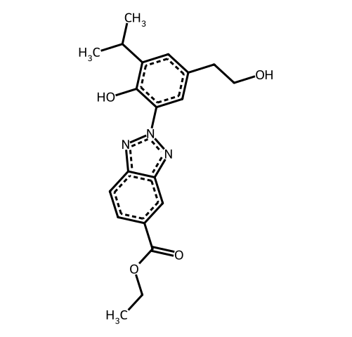 CCOC(=O)c1ccc2nn(-c3cc(CCO)cc(C(C)C)c3O)nc2c1